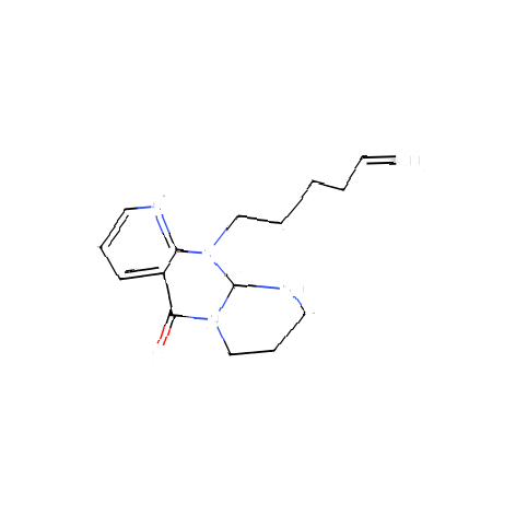 C=CCCCCN1c2ncccc2C(=O)N2CCCNC21